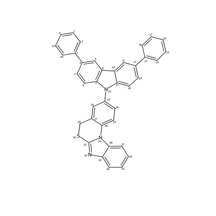 c1ccc(-c2ccc3c(c2)c2cc(-c4ccccc4)ccc2n3-c2ccc3c(c2)CSc2nc4ccccc4n2-3)cc1